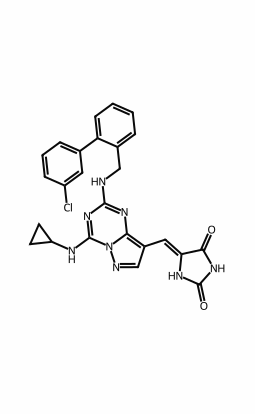 O=C1NC(=O)C(=Cc2cnn3c(NC4CC4)nc(NCc4ccccc4-c4cccc(Cl)c4)nc23)N1